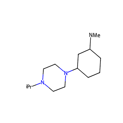 CNC1CCCC(N2CCN(C(C)C)CC2)C1